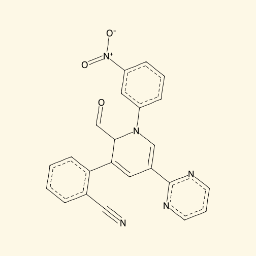 N#Cc1ccccc1C1=CC(c2ncccn2)=CN(c2cccc([N+](=O)[O-])c2)C1C=O